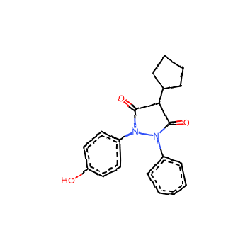 O=C1C(C2CCCC2)C(=O)N(c2ccc(O)cc2)N1c1ccccc1